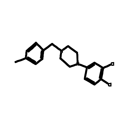 Cc1ccc(CN2CCN(c3ccc(Cl)c(Cl)c3)CC2)cc1